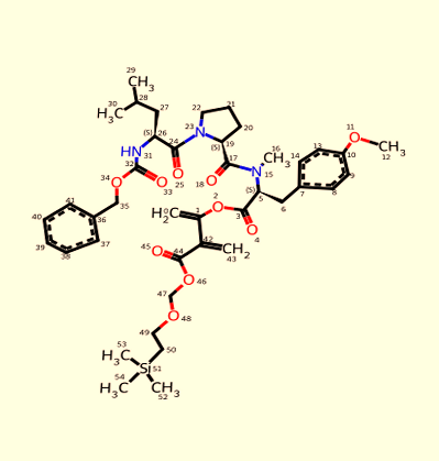 C=C(OC(=O)[C@H](Cc1ccc(OC)cc1)N(C)C(=O)[C@@H]1CCCN1C(=O)[C@H](CC(C)C)NC(=O)OCc1ccccc1)C(=C)C(=O)OCOCC[Si](C)(C)C